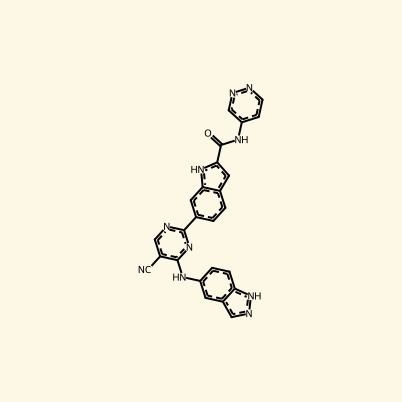 N#Cc1cnc(-c2ccc3cc(C(=O)Nc4ccnnc4)[nH]c3c2)nc1Nc1ccc2[nH]ncc2c1